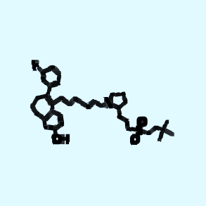 CC(C)(C)CCS(=O)(=O)CCC[C@@H]1CCCN1CCCCCCC1=C(c2cccc(F)c2)CCCc2cc(O)ccc21